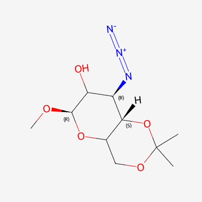 CO[C@@H]1OC2COC(C)(C)O[C@H]2[C@H](N=[N+]=[N-])C1O